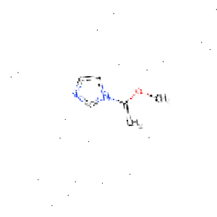 C=C(OC)n1ccnc1